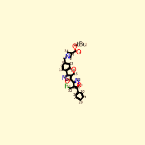 CC(C)(C)OC(=O)C1CN(Cc2ccc3c(c2)OCc2c-3noc2-c2noc(-c3ccccc3)c2CF)C1